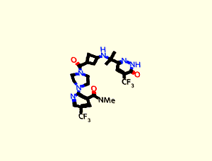 CNC(=O)c1cc(C(F)(F)F)cnc1N1CCN(C(=O)C2CC(NC(C)(C)c3cc(C(F)(F)F)c(=O)[nH]n3)C2)CC1